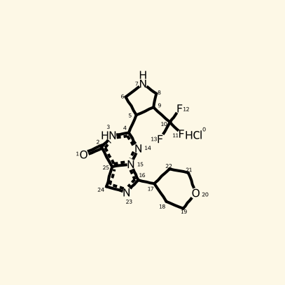 Cl.O=c1[nH]c(C2CNCC2C(F)(F)F)nn2c(C3CCOCC3)ncc12